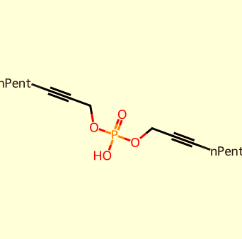 CCCCCC#CCOP(=O)(O)OCC#CCCCCC